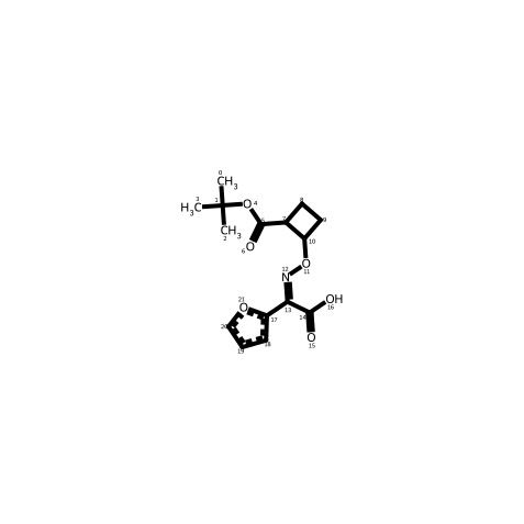 CC(C)(C)OC(=O)C1CCC1ON=C(C(=O)O)c1ccco1